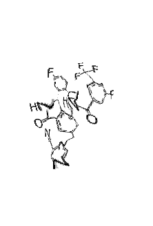 N#Cc1cncn1Cc1cc(NC(=O)c2cc(F)cc(C(F)(F)F)c2)c2c(c1)C(=O)N[C@@H]2c1cc(F)ccc1Cl